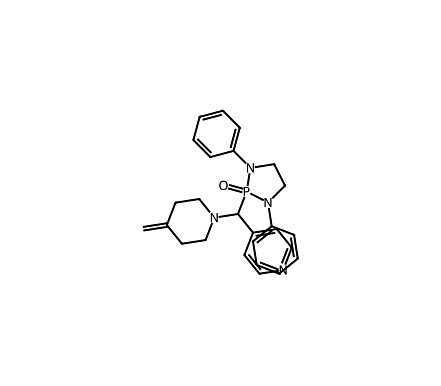 C=C1CCN(C(c2ccncc2)P2(=O)N(c3ccccc3)CCN2c2ccccc2)CC1